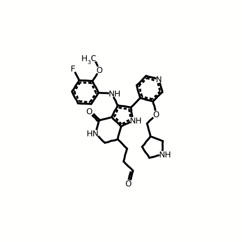 COc1c(F)cccc1Nc1c(-c2ccncc2OCC2CCNC2)[nH]c2c1C(=O)NCC2CCC=O